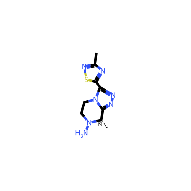 Cc1nsc(-c2nnc3n2CCN(N)[C@H]3C)n1